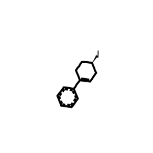 I[C@H]1CC=C(c2ccccc2)CC1